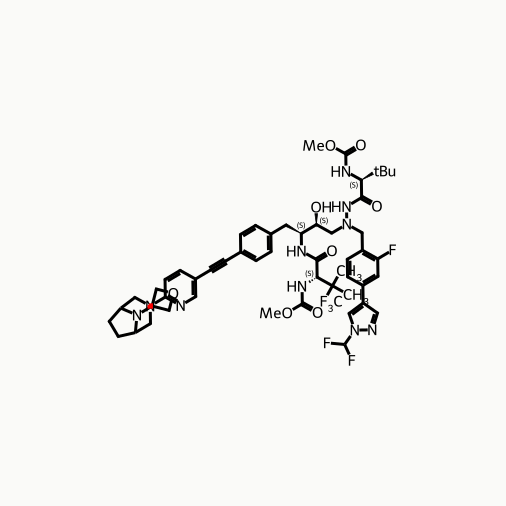 COC(=O)N[C@H](C(=O)NN(Cc1ccc(-c2cnn(C(F)F)c2)cc1F)C[C@H](O)[C@H](Cc1ccc(C#Cc2ccc(N3CC4CCC(C3)N4C3COC3)nc2)cc1)NC(=O)[C@@H](NC(=O)OC)C(C)(C)C(F)(F)F)C(C)(C)C